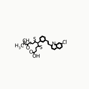 CN(C)C(=O)CCC(=S)C(C(=S)CCC(=O)O)c1cccc(C=Cc2ccc3ccc(Cl)cc3n2)c1